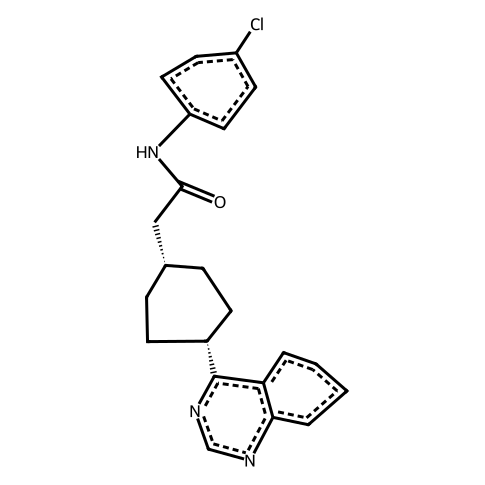 O=C(C[C@H]1CC[C@@H](c2ncnc3ccccc32)CC1)Nc1ccc(Cl)cc1